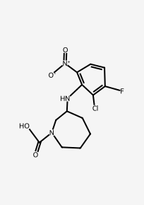 O=C(O)N1CCCCC(Nc2c([N+](=O)[O-])ccc(F)c2Cl)C1